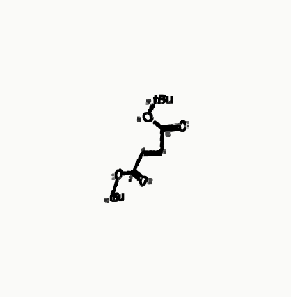 CCC(C)OC(=O)C=CC(=O)OC(C)(C)C